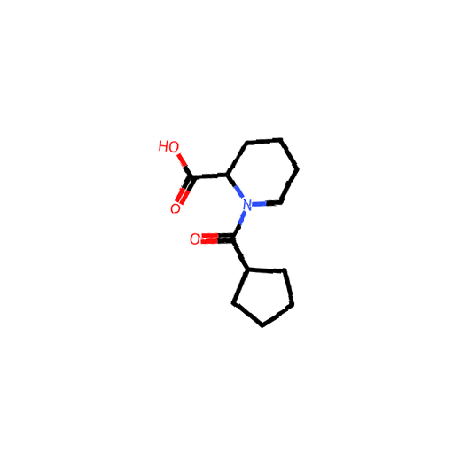 O=C(O)C1CCCCN1C(=O)C1CCCC1